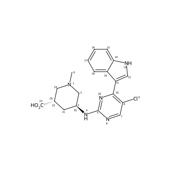 CN1C[C@@H](Nc2ncc(Cl)c(-c3c[nH]c4ccccc34)n2)C[C@H](C(=O)O)C1